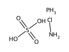 NCl.O=S(=O)(O)O.P